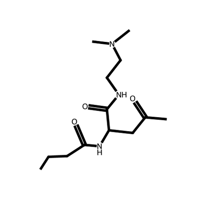 CCCC(=O)NC(CC(C)=O)C(=O)NCCN(C)C